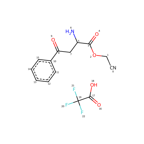 N#CCOC(=O)C(N)CC(=O)c1ccccc1.O=C(O)C(F)(F)F